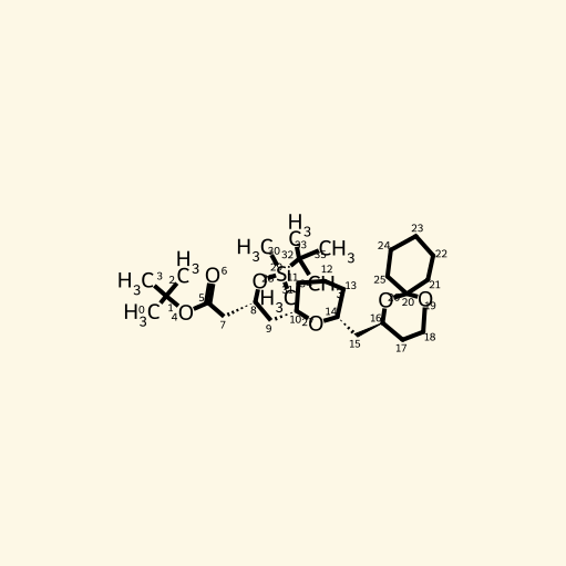 CC(C)(C)OC(=O)C[C@@H](C[C@@H]1CCC[C@H](C[C@@H]2CCOC3(CCCCC3)O2)O1)O[Si](C)(C)C(C)(C)C